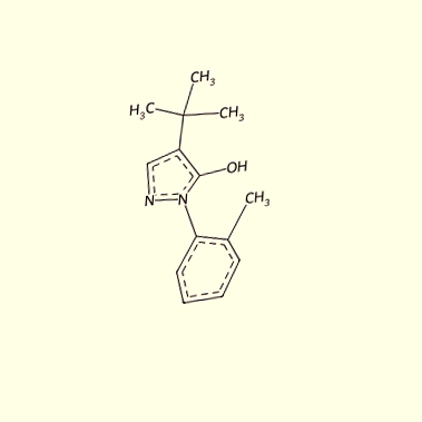 Cc1ccccc1-n1ncc(C(C)(C)C)c1O